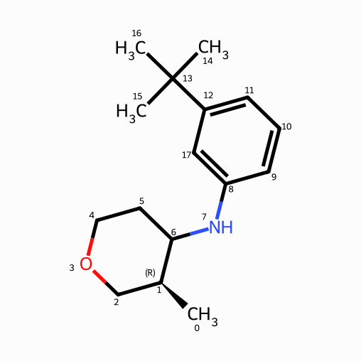 C[C@H]1COCCC1Nc1cccc(C(C)(C)C)c1